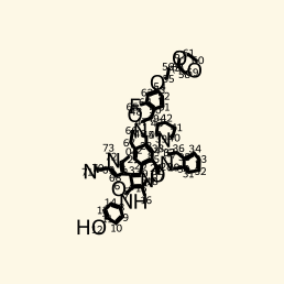 Cc1c(-c2c(C(=O)Nc3ccc(O)cc3)c(C)n(C)c2-c2cc3c(cc2C(=O)N2Cc4ccccc4C[C@H]2CN2CCCCC2)CN(C(=O)Cc2ccc(OCC[C@H]4COCCO4)cc2F)CC3)cc(C#N)n1C